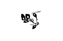 COC(=O)c1ccc(CSc2nnc(Cc3c[nH]c4ccccc34)n2CCCc2cn(C(c3ccccc3)(c3ccccc3)c3ccccc3)cn2)cc1